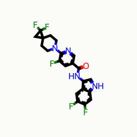 O=C(Nc1c[nH]c2cc(F)c(F)cc12)c1cnc(N2CCC3(CC2)CC3(F)F)c(F)c1